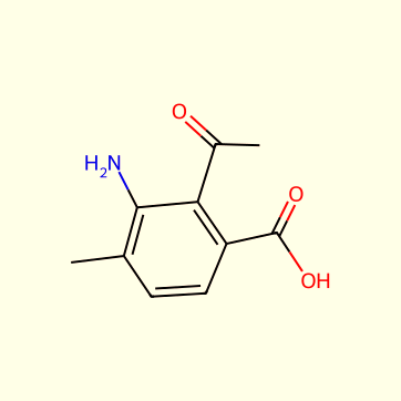 CC(=O)c1c(C(=O)O)ccc(C)c1N